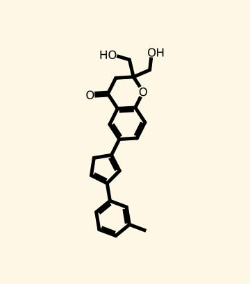 Cc1cccc(C2=CCC(c3ccc4c(c3)C(=O)CC(CO)(CO)O4)=C2)c1